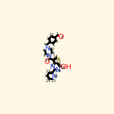 O=Cc1ccc(CN2CCN(C(=O)c3csc4c(O)nc(-c5ccccn5)nc34)CC2)cc1